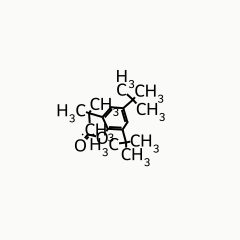 CC(C)(C)c1cc(C(C)(C)C)c(O[C]=O)c(C(C)(C)C)c1